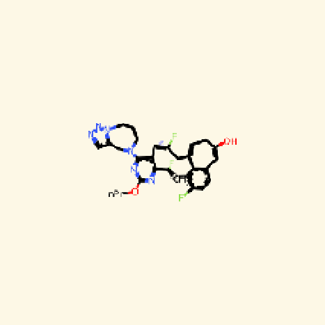 C=C(F)c1nc(OCCC)nc(N2CCCn3nncc3C2)c1/C=C(/F)CC1=CCC(O)=Cc2ccc(F)c(CC)c21